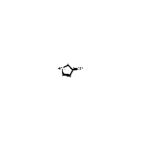 O=C1[C]NC=C1